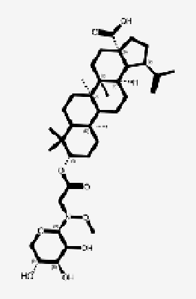 C=C(C)[C@@H]1CC[C@]2(C(=O)O)CC[C@]3(C)[C@H](CCC4[C@@]5(C)CC[C@H](OC(=O)CN(OC)[C@@H]6OC[C@@H](O)[C@H](O)C6O)C(C)(C)C5CC[C@]43C)C12